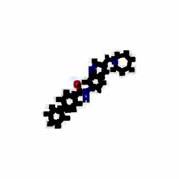 O=C(Nc1ccc2cc(CN3CCCCCC3)cnc2c1)c1ccc(-c2ccccc2)cc1